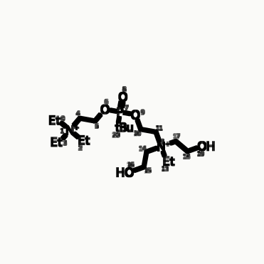 CC[N+](CC)(CC)CCOP(=O)(OCC[N+](CC)(CCO)CCO)C(C)(C)C